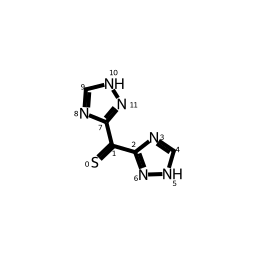 S=C(c1nc[nH]n1)c1nc[nH]n1